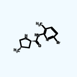 Cc1ccc(Br)nc1NC(=O)[C@@H]1C[C@H](C)CN1